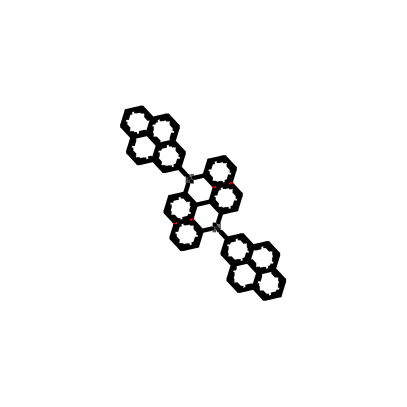 c1ccc(N(c2cc3ccc4cccc5ccc(c2)c3c45)c2ccccc2-c2ccccc2N(c2ccccc2)c2cc3ccc4cccc5ccc(c2)c3c45)cc1